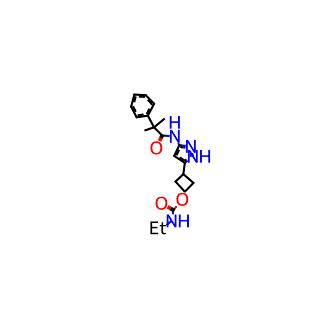 CCNC(=O)OC1CC(c2cc(NC(=O)C(C)(C)c3ccccc3)n[nH]2)C1